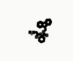 NCC(=O)OC1(C(=O)OCC2c3ccccc3-c3ccccc32)CCCCC1